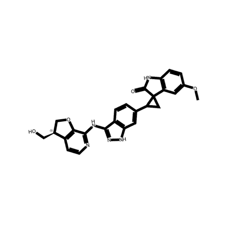 COc1ccc2c(c1)C1(CC1c1ccc3c(Nc4nccc5c4OC[C@@H]5CO)n[nH]c3c1)C(=O)N2